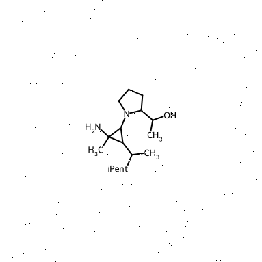 CCCC(C)C(C)C1C(N2CCCC2C(C)O)C1(C)N